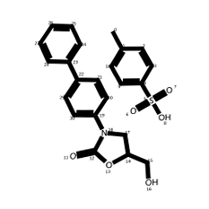 Cc1ccc(S(=O)(=O)O)cc1.O=C1OC(CO)CN1c1ccc(-c2ccccc2)cc1